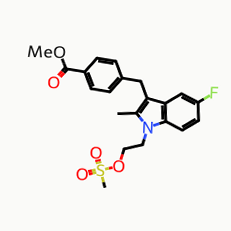 COC(=O)c1ccc(Cc2c(C)n(CCOS(C)(=O)=O)c3ccc(F)cc23)cc1